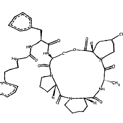 CC1C[C@H]2C(=O)OC[C@H](NC(=O)[C@H](Cc3ccccc3)NC(=O)NCCc3ccccc3)C(=O)N3CCC[C@H]3C(=O)N3CCCC[C@H]3C(=O)N[C@@H](C)C(=O)N2C1